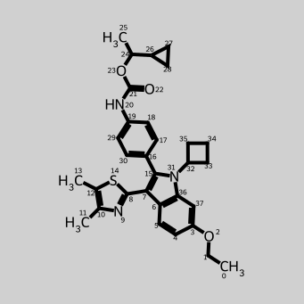 CCOc1ccc2c(-c3nc(C)c(C)s3)c(-c3ccc(NC(=O)OC(C)C4CC4)cc3)n(C3CCC3)c2c1